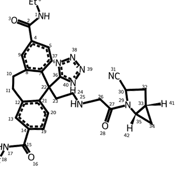 CCNC(=O)c1ccc2c(c1)CCc1cc(C(=O)NCC)ccc1C2(CCNCC(=O)N1C(C#N)C[C@@H]2C[C@@H]21)c1nnn[nH]1